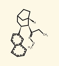 CCC(=NOC)[C@@H]1[C@H]2CCC(C2)C[C@@H]1c1ccc2ccccc2c1